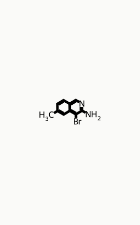 Cc1ccc2cnc(N)c(Br)c2c1